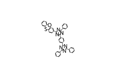 c1ccc(-c2nc(-c3ccccc3)nc(-c3ccc(-c4nc(-c5ccccc5)nc(-c5ccc6c(c5)Oc5ccccc5S6)n4)cc3)n2)cc1